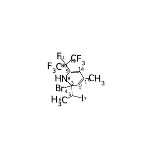 CC1=[C]C(Br)(C(C)I)NC(C(F)(C(F)(F)F)C(F)(F)F)=C1